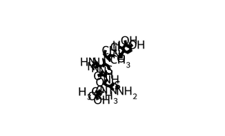 CC[N+](CC)(CCNC(=O)c1ccc(O)c(O)c1Cl)CC1=C(c2nn[nH]n2)N2C(=O)[C@@H](NC(=O)/C(=N\OC(C)(C)C(=O)O)c3csc(N)n3)[C@H]2SC1